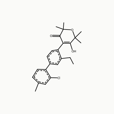 CCc1cc(-c2ccc(C)cc2Cl)ccc1C1=C(O)C(C)(C)OC(C)(C)C1=O